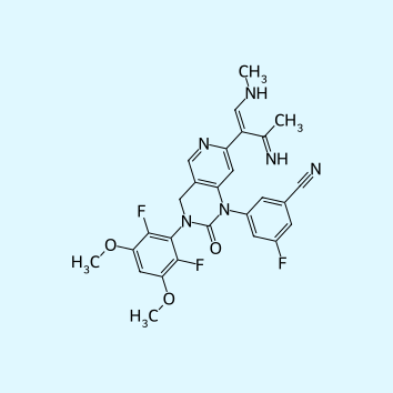 CN/C=C(\C(C)=N)c1cc2c(cn1)CN(c1c(F)c(OC)cc(OC)c1F)C(=O)N2c1cc(F)cc(C#N)c1